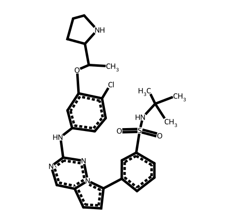 CC(Oc1cc(Nc2ncc3ccc(-c4cccc(S(=O)(=O)NC(C)(C)C)c4)n3n2)ccc1Cl)C1CCCN1